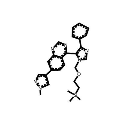 Cn1cc(-c2ccc3c(-c4c(-c5ccccc5)ncn4COCC[Si](C)(C)C)ncnc3c2)cn1